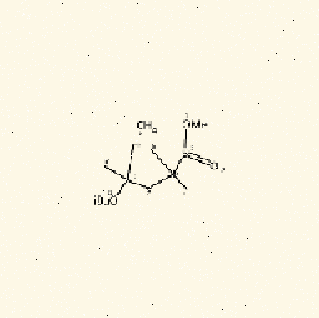 C.COS(=O)C(C)(C)CC(C)(C)OCC(C)C